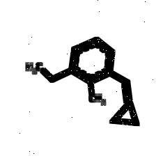 CCc1cccc(C=C2CC2)c1C